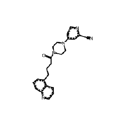 N#Cc1cc(N2CCN(C(=O)CCCc3cccc4ncccc34)CC2)ccn1